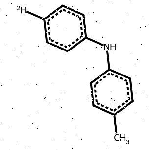 [2H]c1ccc(Nc2ccc(C)cc2)cc1